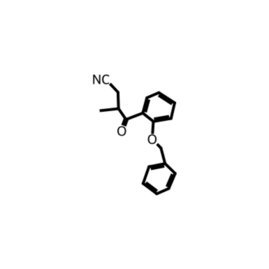 CC(CC#N)C(=O)c1ccccc1OCc1ccccc1